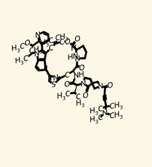 CCn1c(-c2cccnc2[C@H](C)OC)c2c3cc(ccc31)-c1csc(n1)C[C@H](NC(=O)[C@H](C(C)C)N1CCC3(CN(C(=O)C#CC(C)(C)N(C)C)C3)C1=O)C(=O)N1CCC[C@H](N1)C(=O)OCC(C)(C)C2